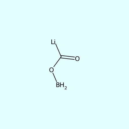 [Li][C](=O)OB